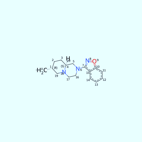 [CH2][C@@H]1CC[C@H]2CN(c3noc4ccccc34)CCN2C1